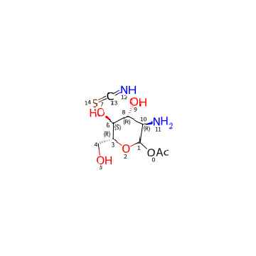 CC(=O)OC1O[C@H](CO)[C@@H](O)[C@H](O)[C@H]1N.N=C=S